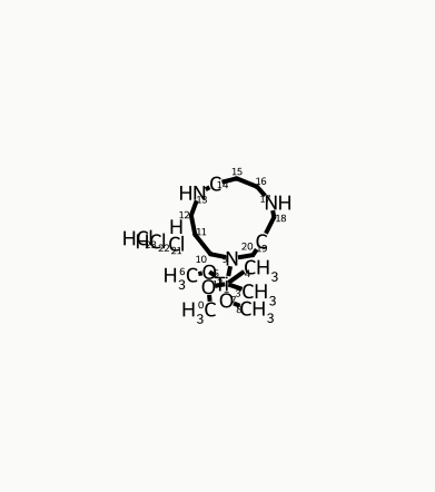 C[O][Ti]([CH3])([CH3])([O]C)([O]C)[N]1CCCNCCCNCCC1.Cl.Cl.Cl